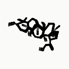 C=C(CO)[C@@H]1CC[C@]2(C)CC[C@]3(C)[C@H](CC[C@@H]4[C@@]5(C)CC[C@H](O)C(C)(C)C5CC[C@]43C)[C@@H]12